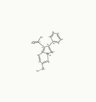 COc1ccc2c(C(C)=O)c(-c3ccccc3)nn2c1